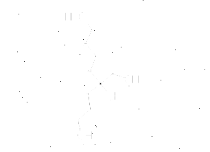 CCCCCC(S)(CC)CCCC